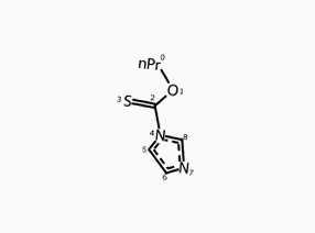 CCCOC(=S)n1ccnc1